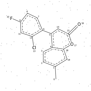 Cc1ccc2c(-c3ccc(F)cc3Cl)cc(=O)oc2c1